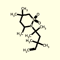 C=CC(C)(C)CC(C)(C)N1C(C)CC(C)(C)CS1(=O)=O